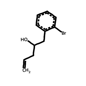 C=CCC(O)Cc1ccccc1Br